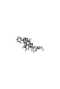 CC=C(C)Cn1c(N2CCCC(N)C2)nc2c1c(=O)n(CC(=O)c1ccccc1)c(=O)n2C